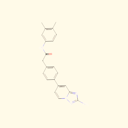 Cc1ccc(NC(=O)Cc2ccc(-c3ccn4nc(N)nc4c3)cc2)cc1C